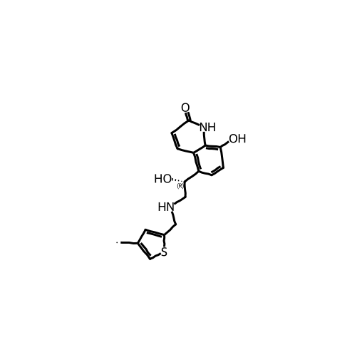 [CH2]c1csc(CNC[C@H](O)c2ccc(O)c3[nH]c(=O)ccc23)c1